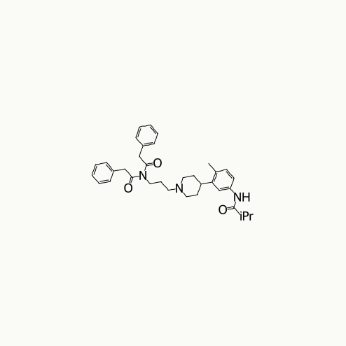 Cc1ccc(NC(=O)C(C)C)cc1C1CCN(CCCN(C(=O)Cc2ccccc2)C(=O)Cc2ccccc2)CC1